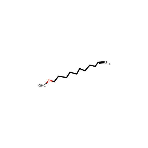 C=CCCCCCCCCCO[C]=O